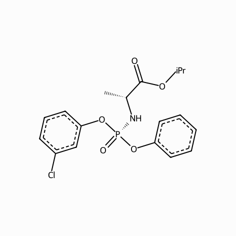 CC(C)OC(=O)[C@@H](C)N[P@@](=O)(Oc1ccccc1)Oc1cccc(Cl)c1